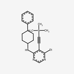 CCc1ncnc(NC2CCC(c3ccccc3)CC2)c1C#C[Si](C)(C)C